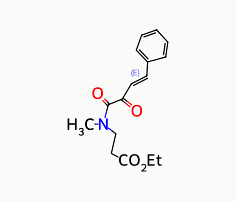 CCOC(=O)CCN(C)C(=O)C(=O)/C=C/c1ccccc1